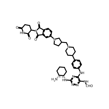 N[C@@H]1CCCC[C@@H]1Nc1nnc(NC=O)c(Nc2ccc(C3CCN(CC4CCN(c5ccc6c(c5)C(=O)N(C5CCC(=O)NC5=O)C6=O)C4)CC3)cc2)n1